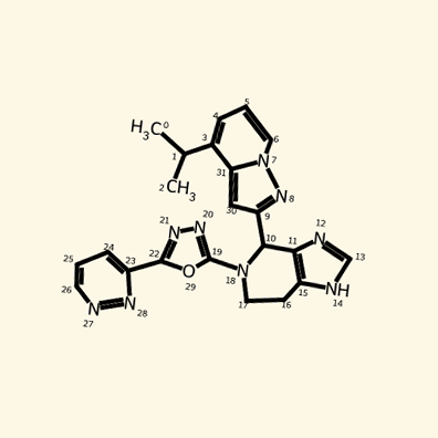 CC(C)c1cccn2nc(C3c4nc[nH]c4CCN3c3nnc(-c4cccnn4)o3)cc12